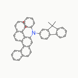 CC1(C)c2ccccc2-c2ccc(N(c3ccccc3)c3cc4ccc5ccccc5c4c4ccc5ccccc5c34)cc21